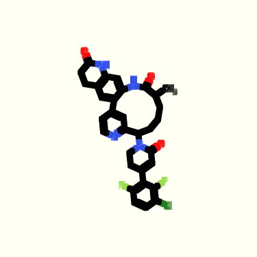 CC1CCCC(N2CCC(c3c(F)ccc(Cl)c3F)=CC2=O)c2cc(ccn2)-c2cc3c(cc2NC1=O)NC(=O)CC3